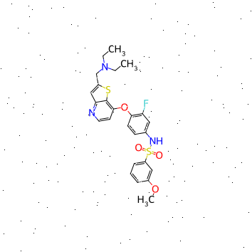 CCN(CC)Cc1cc2nccc(Oc3ccc(NS(=O)(=O)c4cccc(OC)c4)cc3F)c2s1